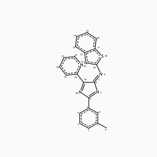 Cc1cccc(C2=N/C(=N/c3nc4ccccc4s3)C(c3ccccn3)=N2)c1